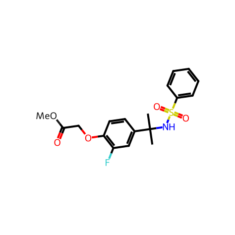 COC(=O)COc1ccc(C(C)(C)NS(=O)(=O)c2ccccc2)cc1F